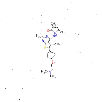 C=C1C=C(C)C(=O)N1Nc1nc(C)nc2sc(-c3ccc(OCCN(C)C)cc3)c(C)c12